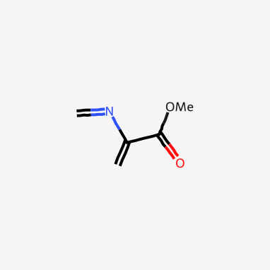 C=NC(=C)C(=O)OC